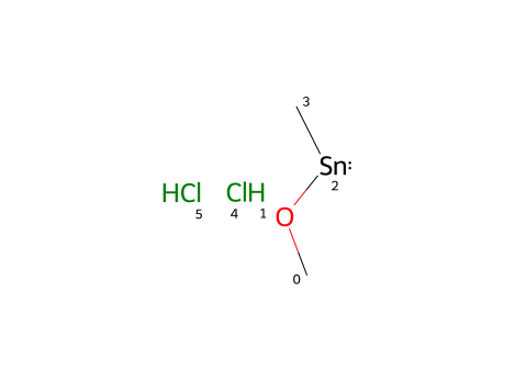 C[O][Sn][CH3].Cl.Cl